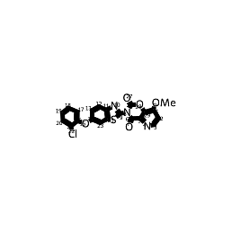 COc1ccnc2c(=O)n(-c3nc4ccc(Oc5ccccc5Cl)cc4s3)c(=O)oc12